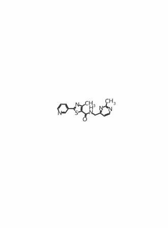 Cc1nccc(CNC(=O)c2sc(-c3cccnc3)nc2C)n1